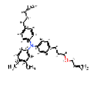 C=CCOCCCc1ccc(N(c2ccc(CCCOC(C)=O)cc2)c2ccc(C)c(C)c2)cc1